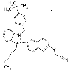 CCCCCc1c(-c2ccc3cc(OCC#N)ccc3c2)n(Cc2ccc(C(C)(C)C)cc2)c2ccccc12